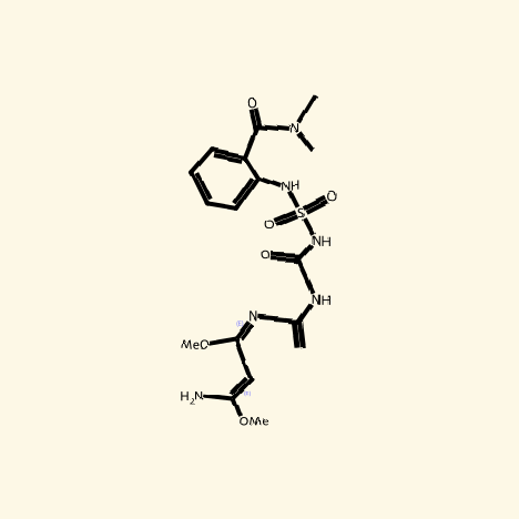 C=C(/N=C(\C=C(/N)OC)OC)NC(=O)NS(=O)(=O)Nc1ccccc1C(=O)N(C)C